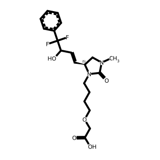 CN1C[C@H](C=CC(O)C(F)(F)c2ccccc2)N(CCCCOCC(=O)O)C1=O